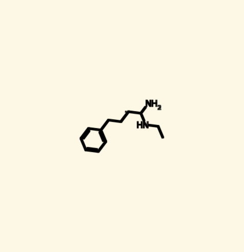 CCNC(N)[CH]CCc1ccccc1